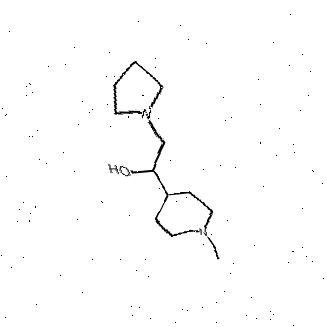 CN1CCC(C(O)CN2CCCC2)CC1